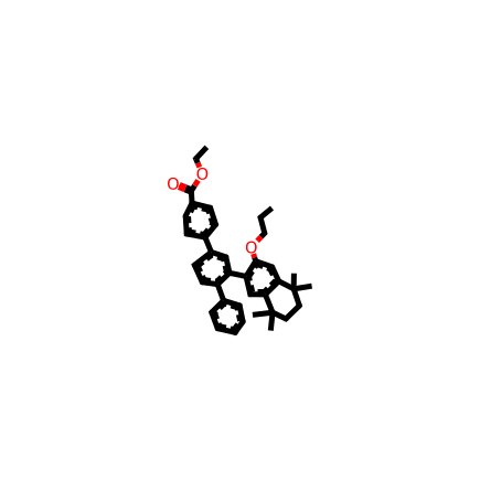 CCCOc1cc2c(cc1-c1cc(-c3ccc(C(=O)OCC)cc3)ccc1-c1ccccc1)C(C)(C)CCC2(C)C